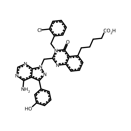 Nc1ncnc2c1c(-c1cccc(O)c1)nn2Cc1nc2cccc(CCCCC(=O)O)c2c(=O)n1Cc1ccccc1Cl